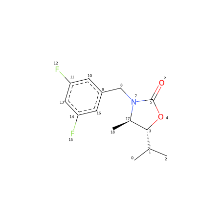 CC(C)[C@H]1OC(=O)N(Cc2cc(F)cc(F)c2)[C@@H]1C